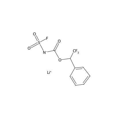 O=C([N-]S(=O)(=O)F)OC(c1ccccc1)C(F)(F)F.[Li+]